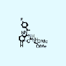 COC(CNC(=O)Nc1c2c(nn1C(C)c1ccc(F)cc1)CCN[C@H]2C)OC